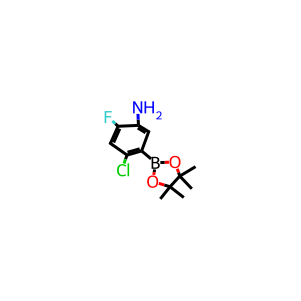 CC1(C)OB(c2cc(N)c(F)cc2Cl)OC1(C)C